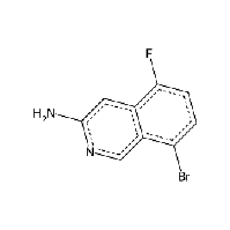 Nc1cc2c(F)ccc(Br)c2cn1